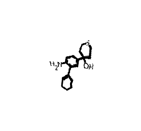 Nc1ccc(C2(O)CCSCC2)cc1C1=CCCCC1